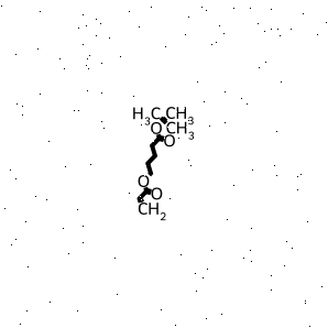 C=CC(=O)OCCCCC(=O)OC(C)(C)C